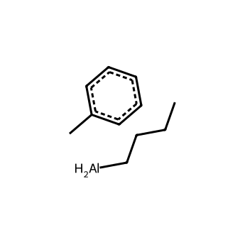 CCC[CH2][AlH2].Cc1ccccc1